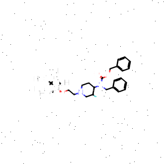 CC(C)(C)[Si](C)(C)OCCN1CCC(N(Cc2ccccc2)C(=O)OCc2ccccc2)C(F)C1